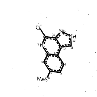 CSc1ccc2c(c1)nc(Cl)c1n[nH]cc12